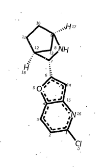 Clc1ccc2oc([C@H]3N[C@@H]4CC[C@H]3C4)cc2n1